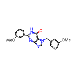 COc1cccc(Cn2cnc3nc(-c4cccc(OC)c4)[nH]c(=O)c32)c1